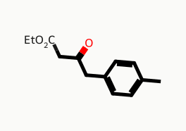 CCOC(=O)CC(=O)Cc1ccc(C)cc1